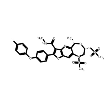 CNC(=O)c1c(-c2ccc(Oc3ccc(F)cc3)cc2)oc2cc3c(nc12)[C@H](C)O[C@H](CS(C)(=O)=O)CN3S(C)(=O)=O